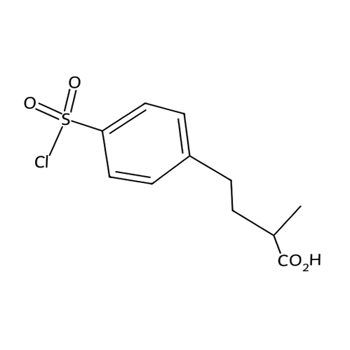 CC(CCc1ccc(S(=O)(=O)Cl)cc1)C(=O)O